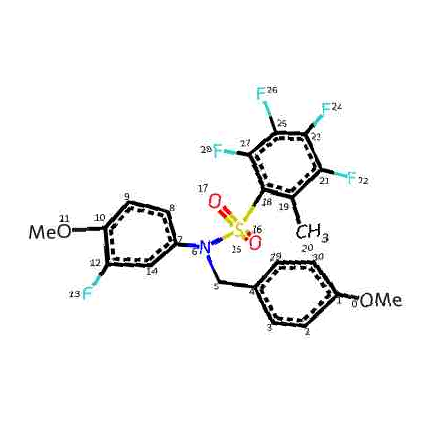 COc1ccc(CN(c2ccc(OC)c(F)c2)S(=O)(=O)c2c(C)c(F)c(F)c(F)c2F)cc1